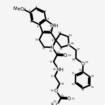 COc1ccc2[nH]c3c(c2c1)CCN(C(=O)CNCCOC(=O)C(F)(F)F)C31CCN(CCOc2ccccc2)C1